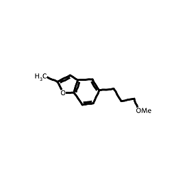 COCCCc1ccc2oc(C)cc2c1